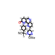 COc1ncc(-c2ccc3ncc4ccc(=O)n(-c5ccc(C(C)(C)C#N)cc5)c4c3n2)cn1